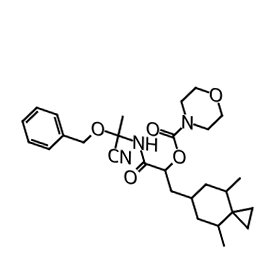 CC1CC(CC(OC(=O)N2CCOCC2)C(=O)NC(C)(C#N)OCc2ccccc2)CC(C)C12CC2